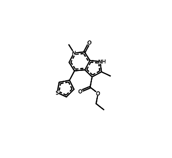 CCOC(=O)c1c(C)[nH]c2c(=O)n(C)cc(-c3ccsc3)c12